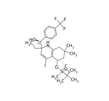 CCC1([C@@H](O)c2ccc(C(F)(F)F)cc2)C=C(I)C2=C(CC(C)(C)CC2O[Si](C)(C)C(C)(C)C)N1